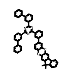 CC1(C)c2ccccc2-c2cc3c(cc21)Oc1ccc(-c2cccc(-c4nc(-c5cccc(-c6ccccc6)c5)nc(-c5cccc(-c6ccccc6)c5)n4)c2)cc1O3